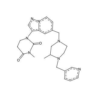 CC1CN(Cc2ccn3ncc(N4CCC(=O)N(C)C4=O)c3c2)CCN1Cc1cccnc1